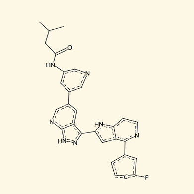 CC(C)CC(=O)Nc1cncc(-c2cnc3[nH]nc(-c4cc5c(-c6cccc(F)c6)nccc5[nH]4)c3c2)c1